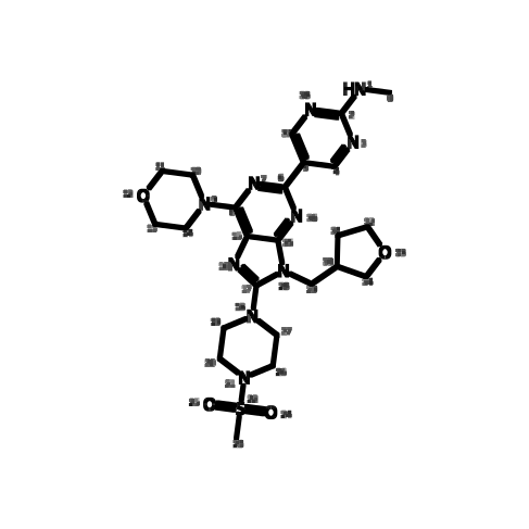 CNc1ncc(-c2nc(N3CCOCC3)c3nc(N4CCN(S(C)(=O)=O)CC4)n(CC4CCOC4)c3n2)cn1